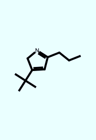 CCCC1=NCC(C(C)(C)C)=C1